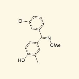 CON=C(c1cccc(Cl)c1)c1ccc(O)c(C)c1